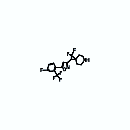 Fc1ccc(-c2cc(C3C(F)(F)C34CCNCC4)no2)c(C(F)(F)F)c1